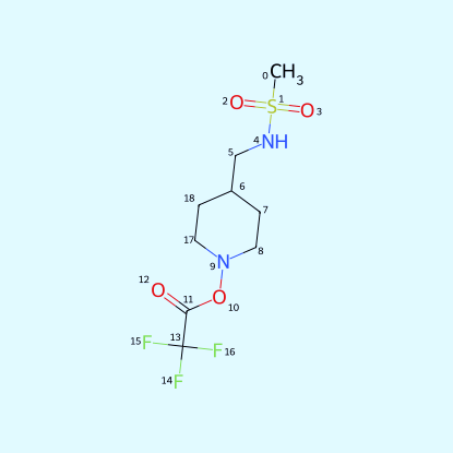 CS(=O)(=O)NCC1CCN(OC(=O)C(F)(F)F)CC1